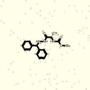 C[C@H](NC(=O)OC(C)(C)C)C(=O)NNC(c1ccccc1)c1ccccc1